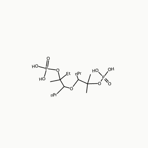 CCCC(OC(CCC)C(C)(CC)OP(=O)(O)O)C(C)(C)OP(=O)(O)O